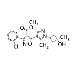 COC(=O)c1c(-c2ccccc2Cl)noc1-c1cnn([C@H]2C[C@](C)(O)C2)c1C